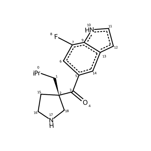 CC(C)C[C@]1(C(=O)c2cc(F)c3[nH]ccc3c2)CCNC1